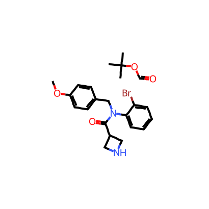 CC(C)(C)OC=O.COc1ccc(CN(C(=O)C2CNC2)c2ccccc2Br)cc1